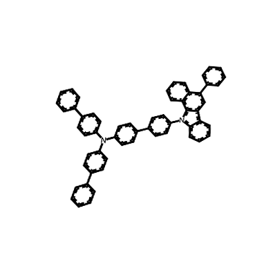 c1ccc(-c2ccc(N(c3ccc(-c4ccccc4)cc3)c3ccc(-c4ccc(-n5c6ccccc6c6cc(-c7ccccc7)c7ccccc7c65)cc4)cc3)cc2)cc1